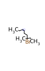 CC/C=C\CCC(C)(Br)CC